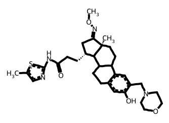 CON=C1C[C@@H](CCC(=O)Nc2ncc(C)s2)C2C3CCc4cc(O)c(CN5CCOCC5)cc4C3CC[C@]12C